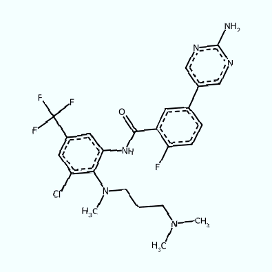 CN(C)CCCN(C)c1c(Cl)cc(C(F)(F)F)cc1NC(=O)c1cc(-c2cnc(N)nc2)ccc1F